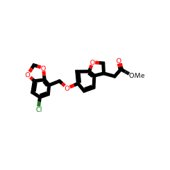 COC(=O)CC1COc2cc(OCc3cc(Cl)cc4c3OCO4)ccc21